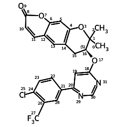 CC1(C)Oc2cc3oc(=O)ccc3cc2C[C@@H]1Oc1cc(-c2ccc(Cl)c(C(F)(F)F)c2)ncn1